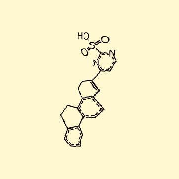 O=S(=O)(O)c1nccc(C2=Cc3ccc4c(c3CC2)CCc2ccccc2-4)n1